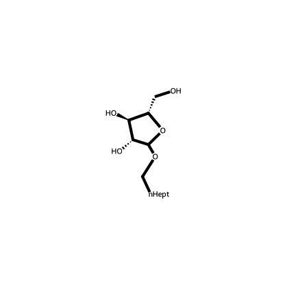 CCCCCCCCOC1O[C@@H](CO)[C@H](O)[C@H]1O